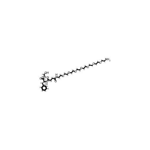 NCCOCCOCCOCCOCCOCCOCCOCCNC(=O)CCC(=O)N[C@@H](Cc1ccccc1)C(=O)NCO